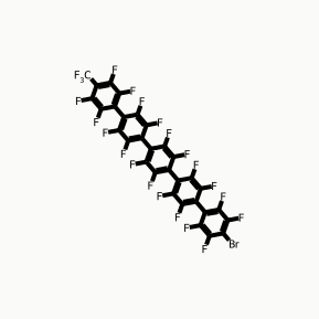 Fc1c(F)c(-c2c(F)c(F)c(-c3c(F)c(F)c(-c4c(F)c(F)c(-c5c(F)c(F)c(C(F)(F)F)c(F)c5F)c(F)c4F)c(F)c3F)c(F)c2F)c(F)c(F)c1Br